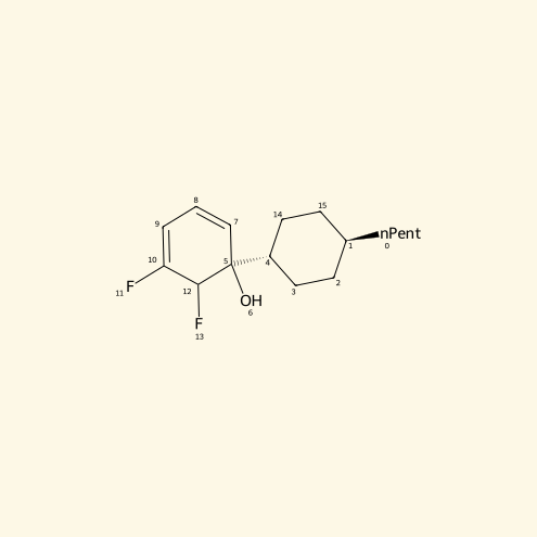 CCCCC[C@H]1CC[C@H](C2(O)C=CC=C(F)C2F)CC1